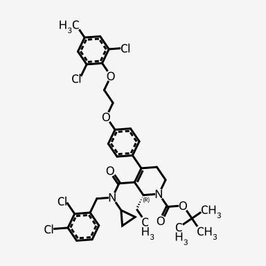 CC[C@@H]1C(C(=O)N(Cc2cccc(Cl)c2Cl)C2CC2)=C(c2ccc(OCCOc3c(Cl)cc(C)cc3Cl)cc2)CCN1C(=O)OC(C)(C)C